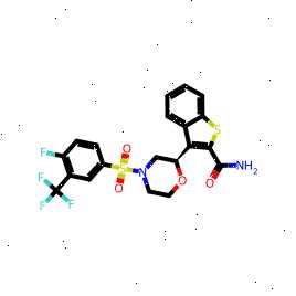 NC(=O)c1sc2ccccc2c1[C@@H]1CN(S(=O)(=O)c2ccc(F)c(C(F)(F)F)c2)CCO1